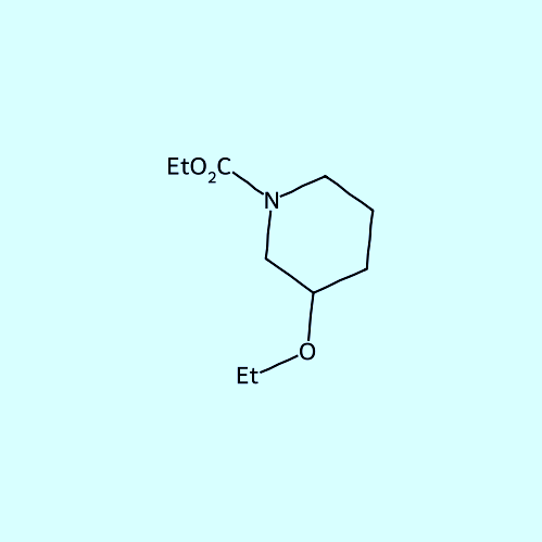 CCOC(=O)N1CCCC(OCC)C1